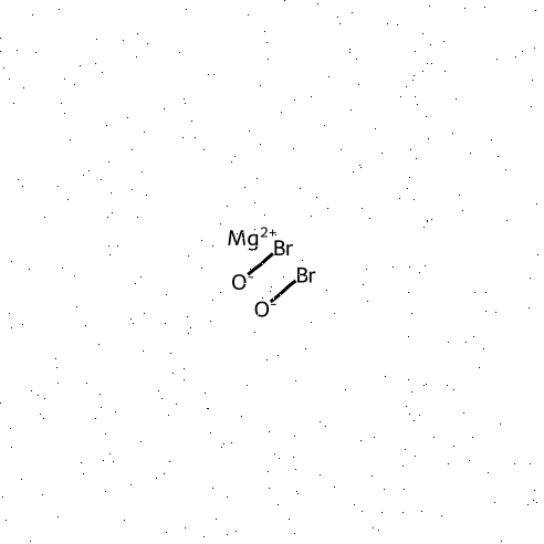 [Mg+2].[O-]Br.[O-]Br